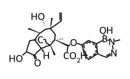 C=C[C@]1(C)C[C@@H](C(Oc2ccc3c(c2)B(O)N(C)N=C3)C(=O)O)[C@@]2(C)[C@H](C)CC[C@]3(CC(O)C(=O)[C@H]32)[C@@H](C)[C@@H]1O